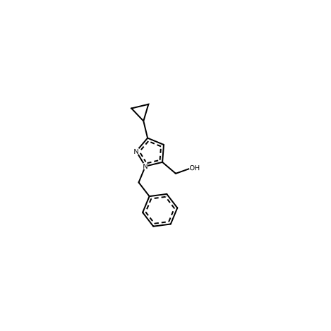 OCc1cc(C2CC2)nn1Cc1ccccc1